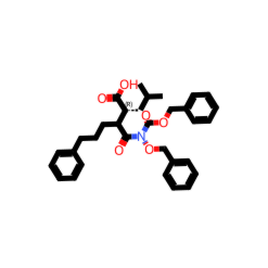 CC(C)C[C@@H](C(=O)O)C(CCCc1ccccc1)C(=O)N(OCc1ccccc1)C(=O)OCc1ccccc1